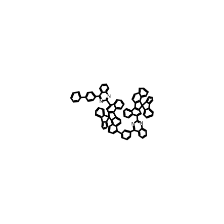 c1ccc(-c2ccc(-c3nc(-c4cc5c(c6ccccc46)-c4ccc6c(-c7cccc(-c8nc(-c9cc%10c(c%11ccccc9%11)-c9ccc%11ccccc%11c9C%109c%10ccccc%10-c%10ccccc%109)nc9ccccc89)c7)cccc6c4C54c5ccccc5-c5ccccc54)nc4ccccc34)cc2)cc1